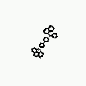 c1ccc(N(c2ccc(-c3ccc(-n4c5cccc6ccc7cccc4c7c65)cc3)cc2)c2cccc3ccccc23)cc1